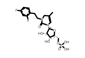 CC1=CN([C@@H]2O[C@H](COP(=O)(O)O)[C@H](O)[C@@H]2O)C(=O)N(CCc2ccc(F)cc2F)C1